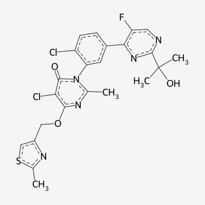 Cc1nc(COc2nc(C)n(-c3cc(-c4nc(C(C)(C)O)ncc4F)ccc3Cl)c(=O)c2Cl)cs1